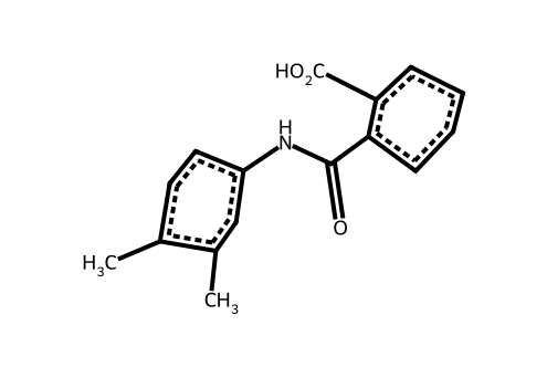 Cc1ccc(NC(=O)c2ccccc2C(=O)O)cc1C